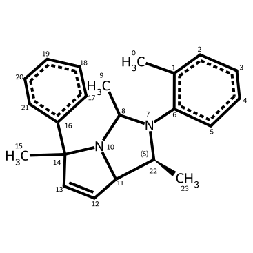 Cc1ccccc1N1C(C)N2C(C=CC2(C)c2ccccc2)[C@@H]1C